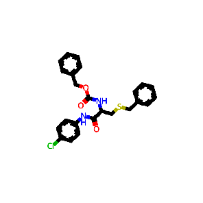 O=C(NC(CSCc1ccccc1)C(=O)Nc1ccc(Cl)cc1)OCc1ccccc1